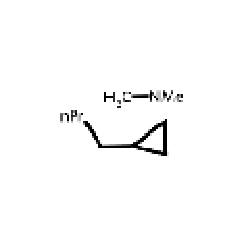 CCCCC1CC1.CNC